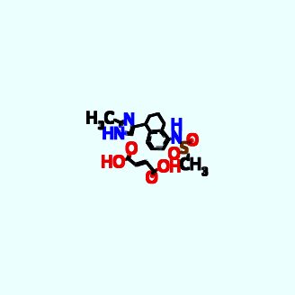 CCS(=O)(=O)Nc1cccc2c1CCCC2c1c[nH]c(C)n1.O=C(O)C=CC(=O)O